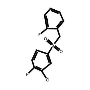 O=S(=O)(Cc1ccccc1F)c1ccc(F)c(Cl)c1